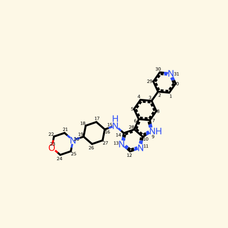 c1cc(-c2ccc3c(c2)[nH]c2ncnc(NC4CCC(N5CCOCC5)CC4)c23)ccn1